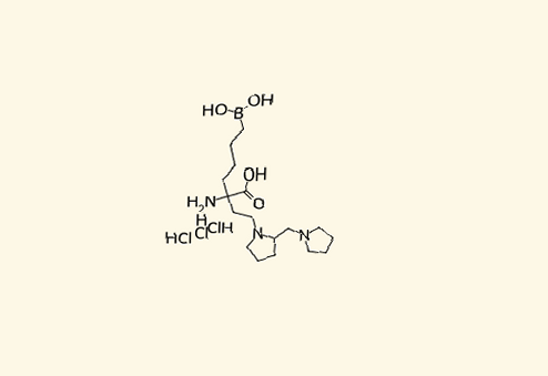 Cl.Cl.Cl.NC(CCCCB(O)O)(CCN1CCCC1CN1CCCC1)C(=O)O